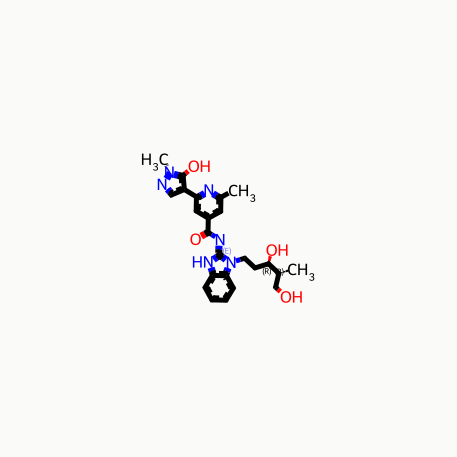 Cc1cc(C(=O)/N=c2\[nH]c3ccccc3n2CC[C@@H](O)[C@H](C)CO)cc(-c2cnn(C)c2O)n1